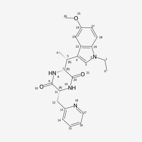 CCn1cc([C@@H](C)[C@H]2NC(=O)[C@@H](Cc3ccccn3)NC2=O)c2cc(OC)ccc21